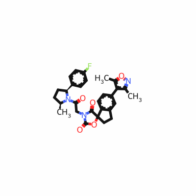 Cc1noc(C)c1-c1ccc2c(c1)CCC21OC(=O)N(CC(=O)N2[C@@H](C)CC[C@H]2c2ccc(F)cc2)C1=O